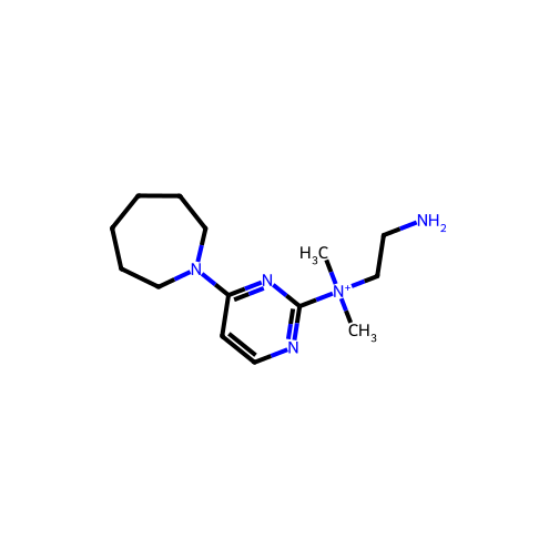 C[N+](C)(CCN)c1nccc(N2CCCCCC2)n1